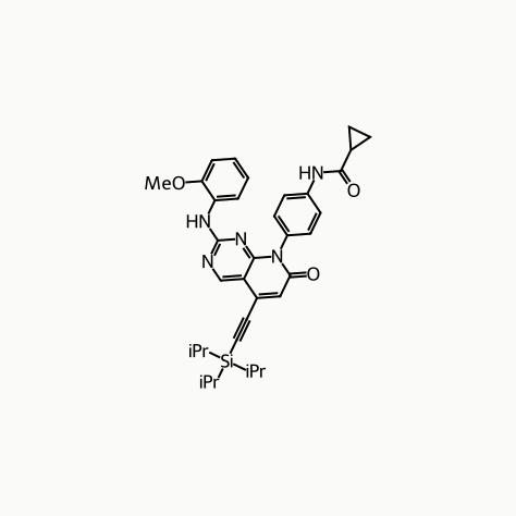 COc1ccccc1Nc1ncc2c(C#C[Si](C(C)C)(C(C)C)C(C)C)cc(=O)n(-c3ccc(NC(=O)C4CC4)cc3)c2n1